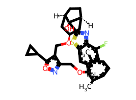 Cc1cccc(C)c1OCc1noc(C2CC2)c1CO[C@H]1C[C@H]2CC[C@@H](C1)[C@@]2(O)c1nc2c(F)cc(C#N)cc2s1